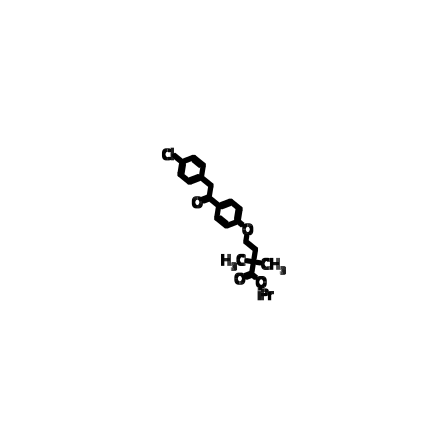 CC(C)OC(=O)C(C)(C)CCOc1ccc(C(=O)Cc2ccc(Cl)cc2)cc1